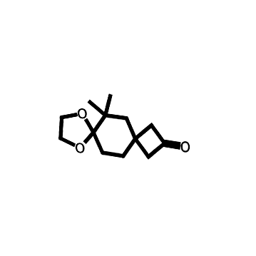 CC1(C)CC2(CCC13OCCO3)CC(=O)C2